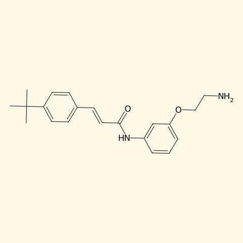 CC(C)(C)c1ccc(C=CC(=O)Nc2cccc(OCCN)c2)cc1